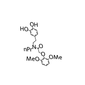 CCCN(CCc1ccc(O)c(O)c1)C(=O)COc1c(OC)cccc1OC